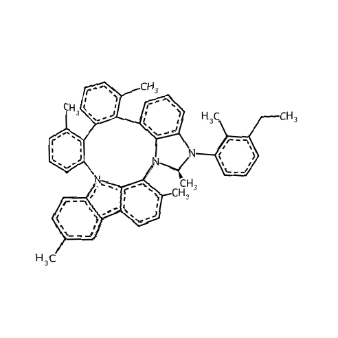 CCc1cccc(N2c3cccc4c3N(c3c(C)ccc5c6cc(C)ccc6n(c35)-c3cccc(C)c3-c3cccc(C)c3-4)[C@@H]2C)c1C